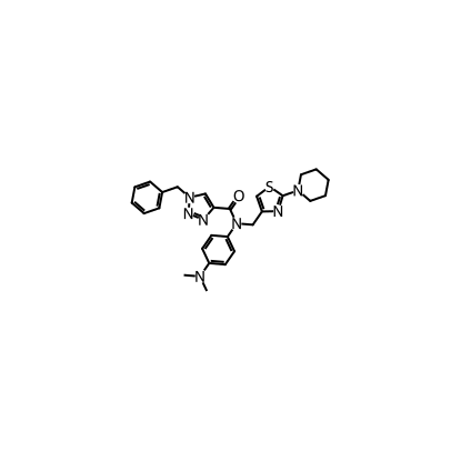 CN(C)c1ccc(N(Cc2csc(N3CCCCC3)n2)C(=O)c2cn(Cc3ccccc3)nn2)cc1